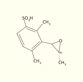 Cc1ccc(S(=O)(=O)O)c(C)c1C1O[C@@H]1C